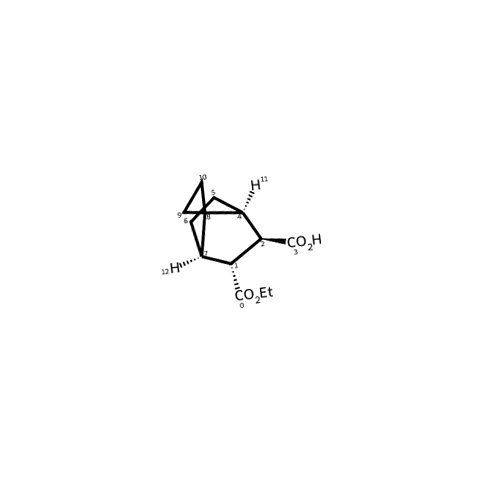 CCOC(=O)[C@H]1[C@H](C(=O)O)[C@@H]2CC[C@H]1C21CC1